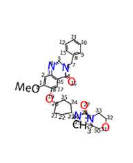 COc1cc2ncn(Cc3ccccc3)c(=O)c2cc1O[C@H]1CC[C@@H](N(C)C(=O)N2CCOCC2)CC1